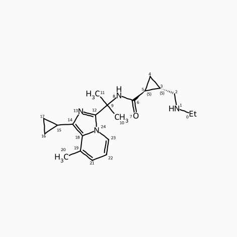 CCNC[C@H]1C[C@@H]1C(=O)NC(C)(C)c1nc(C2CC2)c2c(C)cccn12